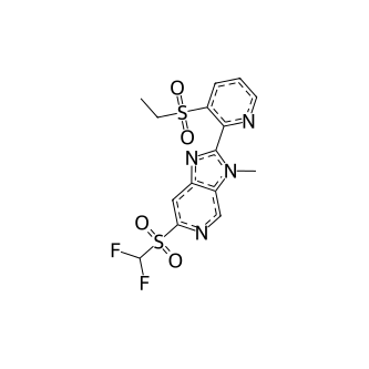 CCS(=O)(=O)c1cccnc1-c1nc2cc(S(=O)(=O)C(F)F)ncc2n1C